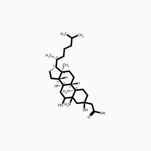 CC(C)CCC[C@@H](C)[C@H]1CC[C@H]2[C@@H]3CC(O)C4(N)CC(O)(CC(=O)O)CC[C@]4(C)[C@H]3CC[C@]12C